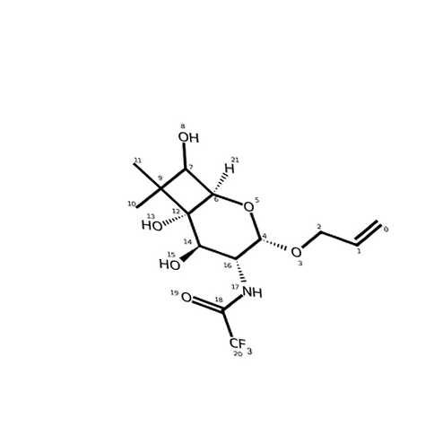 C=CCO[C@H]1O[C@@H]2C(O)C(C)(C)[C@]2(O)[C@H](O)[C@H]1NC(=O)C(F)(F)F